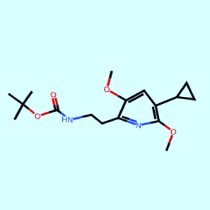 COc1cc(C2CC2)c(OC)nc1CCNC(=O)OC(C)(C)C